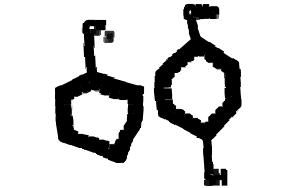 COc1ccc(S)cc1.FC(F)(F)c1ccccc1